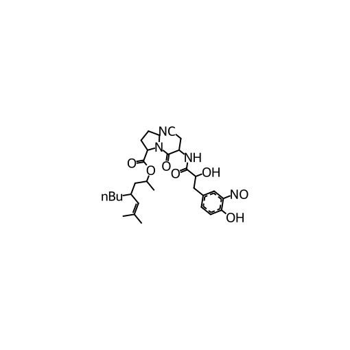 CCCCC(C=C(C)C)CC(C)OC(=O)C1CCCN1C(=O)C(CC#N)NC(=O)C(O)Cc1ccc(O)c(N=O)c1